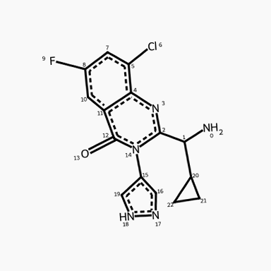 NC(c1nc2c(Cl)cc(F)cc2c(=O)n1-c1cn[nH]c1)C1CC1